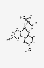 COc1ccc(-c2cc(=O)c(C(=O)O)cn2-c2ccc(F)cc2)cc1